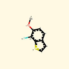 CCOc1ccc2ccsc2c1F